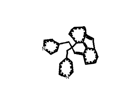 C1=c2cccc3c2=c2c(cccc2=C3)C1(Cc1ccncc1)Cc1ccncc1